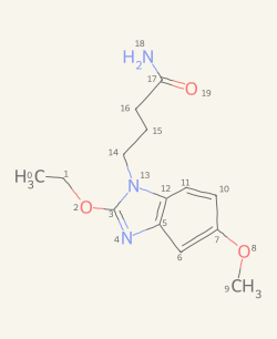 CCOc1nc2cc(OC)ccc2n1CCCC(N)=O